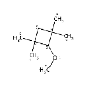 [CH2]OC1C(C)(C)[CH]C1(C)C